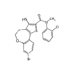 CN(C(=O)c1sc2c(c1S)CCOc1cc(Br)ccc1-2)c1ccccc1Cl